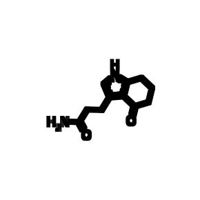 NC(=O)CCc1c[nH]c2c1C(=O)CCC2